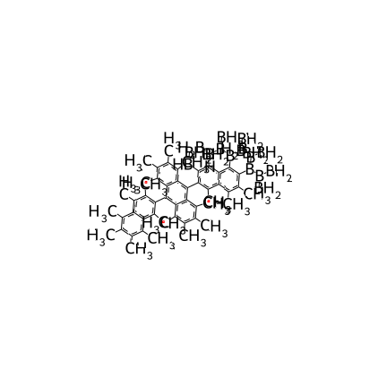 BBB(B)B(B(B)B)c1c(B(B(B)B)B(B)B)c(C)c(C)c2c(C)c(-c3c4c(C)c(C)c(C)c(C)c4c(-c4c(C)c(C)c5c(C)c(C)c(C)c(C)c5c4C)c4c(C)c(C)c(C)c(C)c34)c(BB)c(B)c12